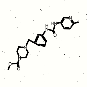 COC(=O)N1CCN(Cc2cccc(NC(=O)Nc3ccc(C)nc3)c2)CC1